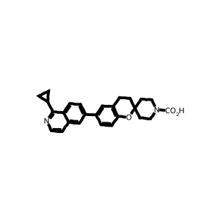 O=C(O)N1CCC2(CCc3cc(-c4ccc5c(C6CC6)nccc5c4)ccc3O2)CC1